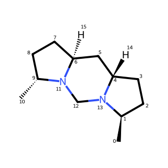 C[C@@H]1CC[C@H]2C[C@@H]3CC[C@@H](C)N3CN21